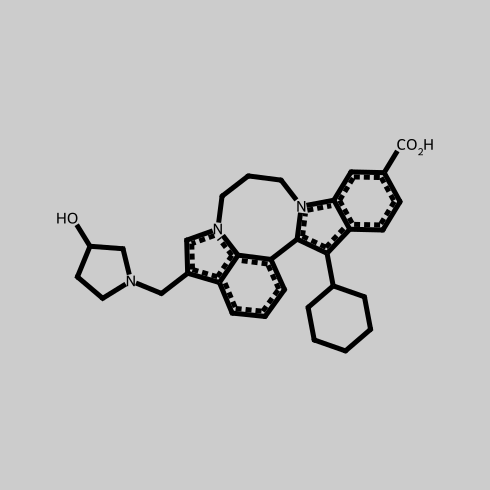 O=C(O)c1ccc2c(C3CCCCC3)c3n(c2c1)CCCn1cc(CN2CCC(O)C2)c2cccc-3c21